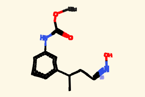 CC(C/C=N\O)c1cccc(NC(=O)OC(C)(C)C)c1